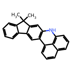 CC1(C)c2ccccc2-c2cc3c(cc21)Nc1cccc2cccc-3c12